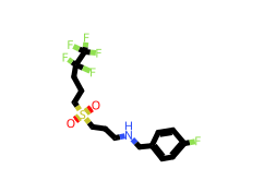 O=S(=O)(CCCNCc1ccc(F)cc1)CCCC(F)(F)C(F)(F)F